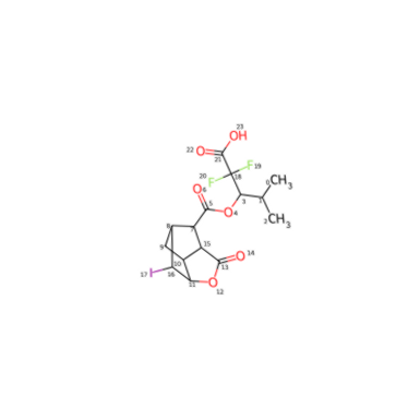 CC(C)C(OC(=O)C1C2CC3C(OC(=O)C31)C2I)C(F)(F)C(=O)O